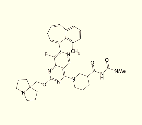 CNC(=O)NC(=O)C1CCCN(c2nc(OCC34CCCN3CCC4)nc3c(F)c(C4=CCC=Cc5cccc(C)c54)ncc23)C1